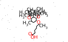 CC(CCCCC(=O)O)O[C@@H]1C[C@@H](C)[C@H](O[Si](C)(C)C(C)(C)C)C[C@H]1O[Si](C)(C)C(C)(C)C